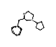 c1ccc(CC2CN(C3CCCC3)CC[N]2)cc1